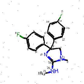 CN1CC(c2ccc(F)cc2)(c2ccc(F)cc2)N=C1NC(C)(C)C